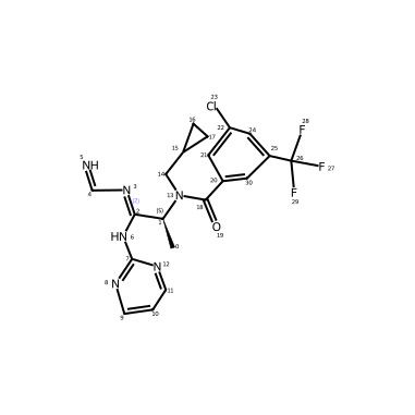 C[C@@H](/C(=N/C=N)Nc1ncccn1)N(CC1CC1)C(=O)c1cc(Cl)cc(C(F)(F)F)c1